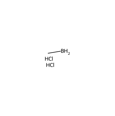 BC.Cl.Cl